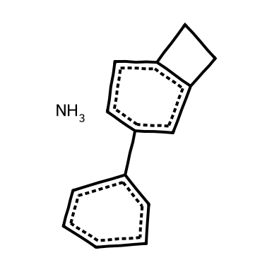 N.c1ccc(-c2ccc3c(c2)CC3)cc1